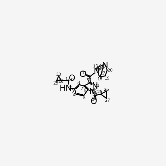 O=C(Nc1ccc2c(c1)c(C(=O)N1CCN3CCC1CC3)nn2C(=O)C1CC1)C1CC1